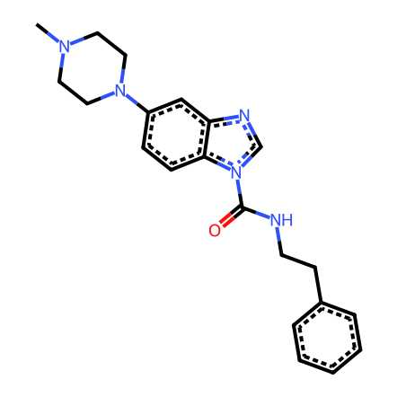 CN1CCN(c2ccc3c(c2)ncn3C(=O)NCCc2ccccc2)CC1